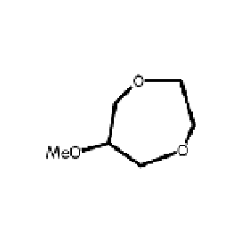 COC1COCCOC1